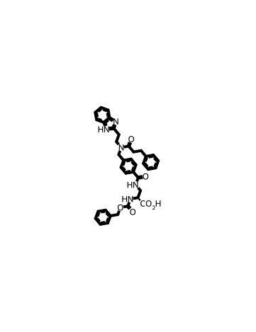 O=C(N[C@@H](CNC(=O)c1ccc(CN(CCc2nc3ccccc3[nH]2)C(=O)CCc2ccccc2)cc1)C(=O)O)OCc1ccccc1